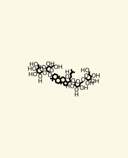 CC(C)=CCC[C@](C)(OC1OC(COC2OC(CO)C(O)C(O)C2O)C(O)C(O)C1O)C1CC[C@]2(C)C1C(O)CC1C3(C)CCC(OC4OC(CO)C(O)C(O)C4OC4OC(CO)C(O)C(O)C4O)C(C)(C)C3CCC12C